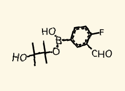 CC(C)(O)C(C)(C)OB(O)c1ccc(F)c(C=O)c1